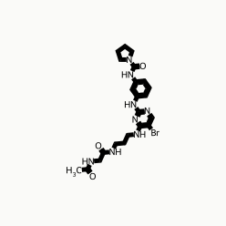 CC(=O)NCC(=O)NCCCNc1nc(Nc2cccc(NC(=O)N3CCCC3)c2)ncc1Br